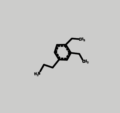 BCCc1ccc(CC)c(CC)c1